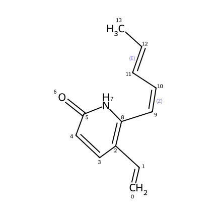 C=Cc1ccc(=O)[nH]c1/C=C\C=C\C